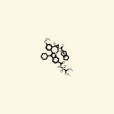 COc1ccc2c(c1)[C@@H]1C[C@]1(C(=O)N1CC34CCCC3(CNC4)C1)Cn1c-2c(C2CCCCC2)c2ccc(C(=O)NS(=O)(=O)C(C)C)cc21